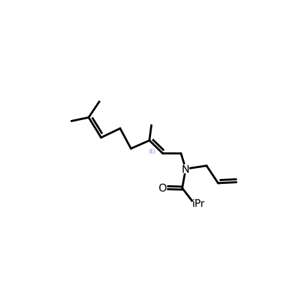 C=CCN(C/C=C(\C)CCC=C(C)C)C(=O)C(C)C